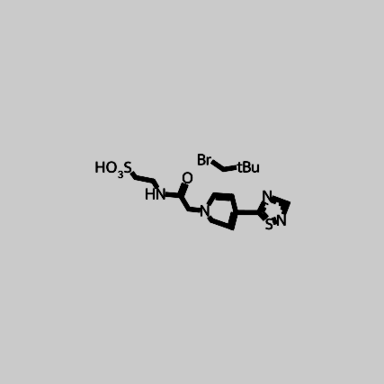 CC(C)(C)CBr.O=C(CN1C=CC(c2ncns2)=CC1)NCCS(=O)(=O)O